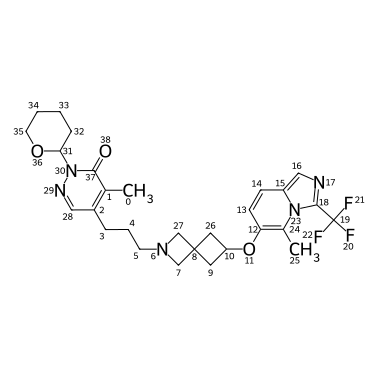 Cc1c(CCCN2CC3(CC(Oc4ccc5cnc(C(F)(F)F)n5c4C)C3)C2)cnn(C2CCCCO2)c1=O